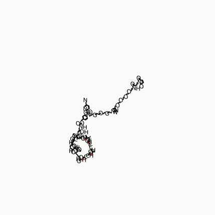 C=C1C[C@@H]2CC[C@@H]3C[C@@H](OC)[C@@H](O3)C3C[C@@H](OC)[C@H]4O[C@H](CC[C@@H]4O3)CC(=O)C[C@@H]3[C@@H](OC)[C@@H](C[C@H](O)CNC(=O)OCc4ccc(N(CCOCCOCCOCCn5cc(COCCOCCOCCOCCNC(=O)CCN6C(=O)C=CC6=O)nn5)S(=O)(=O)c5ccc(C#N)cn5)cc4)O[C@H]3C[C@@H]3O[C@H](CC[C@@H]1O2)C[C@H](C)C3=C